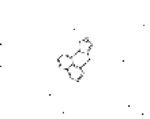 c1cc2c3c(cccc3c1)-c1cscc1C2